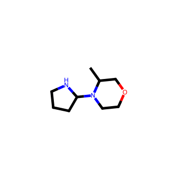 CC1COCCN1C1CCCN1